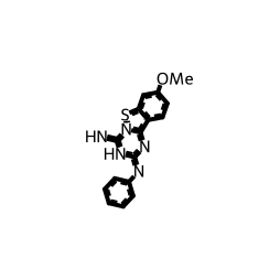 COc1ccc2c(c1)sn1c(=N)[nH]c(=Nc3ccccc3)nc21